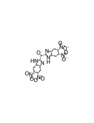 O=C(c1nc2cc([N+](=O)[O-])c([N+](=O)[O-])cc2[nH]1)c1nc2cc([N+](=O)[O-])c([N+](=O)[O-])cc2[nH]1